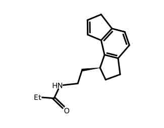 CCC(=O)NCC[C@@H]1CCc2ccc3c(c21)C=CC3